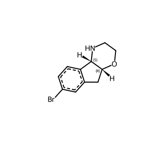 Brc1ccc2c(c1)C[C@H]1OCCN[C@@H]21